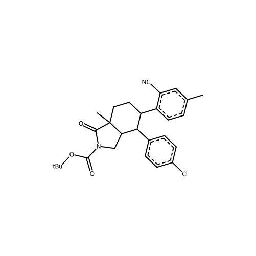 Cc1ccc(C2CCC3(C)C(=O)N(C(=O)OC(C)(C)C)CC3C2c2ccc(Cl)cc2)c(C#N)c1